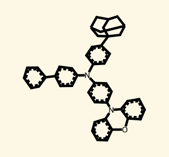 c1ccc(-c2ccc(N(c3ccc(N4c5ccccc5Oc5ccccc54)cc3)c3ccc(C45CC6CC(CC(C6)C4)C5)cc3)cc2)cc1